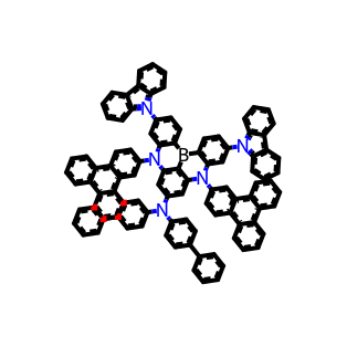 c1ccc(-c2ccc(N(c3ccc(-c4ccccc4)cc3)c3cc4c5c(c3)N(c3ccc6c7ccccc7c7ccccc7c6c3)c3cc(-n6c7ccccc7c7ccccc76)ccc3B5c3ccc(-n5c6ccccc6c6ccccc65)cc3N4c3ccc4c5ccccc5c5ccccc5c4c3)cc2)cc1